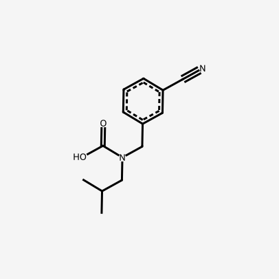 CC(C)CN(Cc1cccc(C#N)c1)C(=O)O